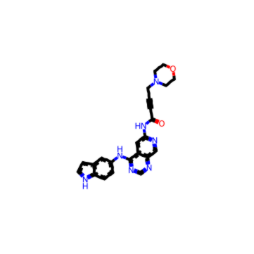 O=C(C#CCN1CCOCC1)Nc1cc2c(Nc3ccc4[nH]ccc4c3)ncnc2cn1